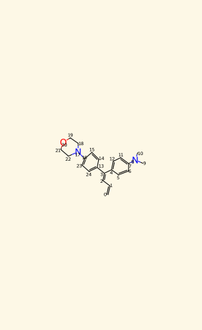 C=C/C=C(\c1ccc(N(C)C)cc1)c1ccc(N2CCOCC2)cc1